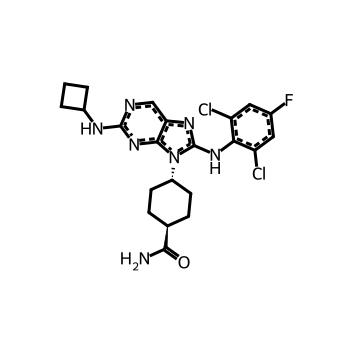 NC(=O)[C@H]1CC[C@H](n2c(Nc3c(Cl)cc(F)cc3Cl)nc3cnc(NC4CCC4)nc32)CC1